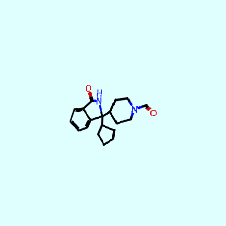 O=CN1CCC(C2(C3CCCC3)NC(=O)c3ccccc32)CC1